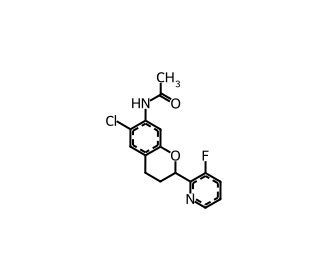 CC(=O)Nc1cc2c(cc1Cl)CCC(c1ncccc1F)O2